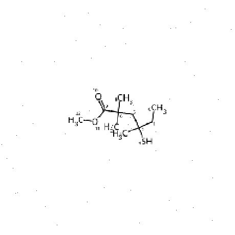 CCC(C)(S)CC(C)(C)C(=O)OC